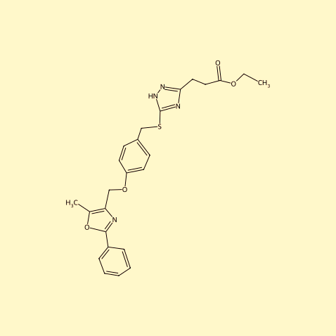 CCOC(=O)CCc1n[nH]c(SCc2ccc(OCc3nc(-c4ccccc4)oc3C)cc2)n1